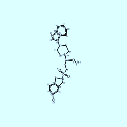 Cl.O=C(CCS(=O)(=O)N1Cc2ccc(Cl)cc2C1)N1CCC(c2cnc3ccccn23)CC1